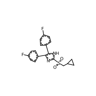 O=S(=O)(CC1CC1)c1nc(-c2ccc(F)cc2)c(-c2ccc(F)cc2)[nH]1